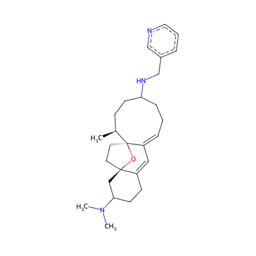 C[C@H]1CCC(NCc2cccnc2)CC/C=C2/C=C3CCC(N(C)C)C[C@]34CC[C@@]21O4